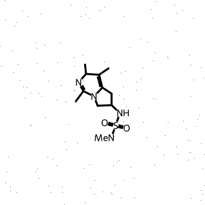 CNS(=O)(=O)NC1CC2=C(C)C(C)N=C(C)N2C1